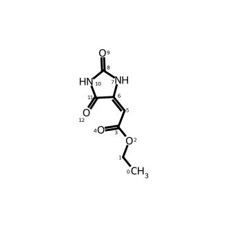 CCOC(=O)C=C1NC(=O)NC1=O